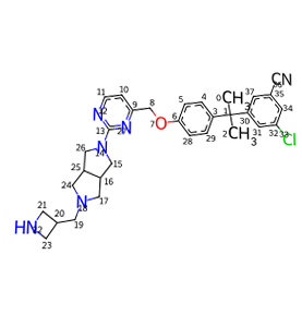 CC(C)(c1ccc(OCc2ccnc(N3CC4CN(CC5CNC5)CC4C3)n2)cc1)c1cc(Cl)cc(C#N)c1